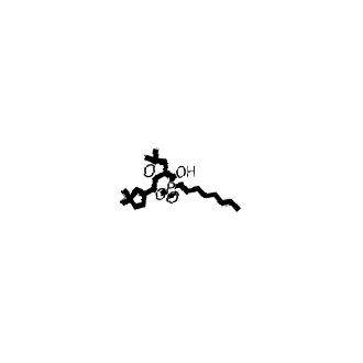 CCCCCCCCP1(=O)OC(C2CCC(C)(C)C2)C2OC(C)(C)CC2C1O